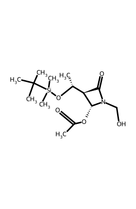 CC(=O)O[C@@H]1[C@@H]([C@@H](C)O[Si](C)(C)C(C)(C)C)C(=O)N1CO